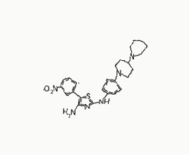 Nc1nc(Nc2ccc(N3CCC(N4CCCCC4)CC3)cc2)sc1-c1[c]ccc([N+](=O)[O-])c1